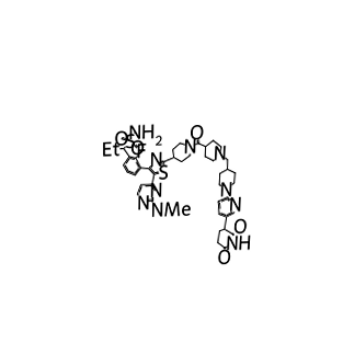 CCC(c1cccc(-c2nc(C3CCN(C(=O)C4CCN(CC5CCN(c6ccc(C7CCC(=O)NC7=O)cn6)CC5)CC4)CC3)sc2-c2ccnc(NC)n2)c1F)S(N)(=O)=O